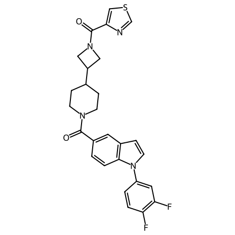 O=C(c1ccc2c(ccn2-c2ccc(F)c(F)c2)c1)N1CCC(C2CN(C(=O)c3cscn3)C2)CC1